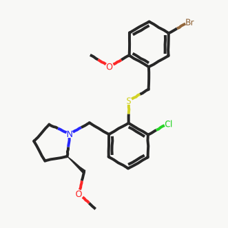 COC[C@H]1CCCN1Cc1cccc(Cl)c1SCc1cc(Br)ccc1OC